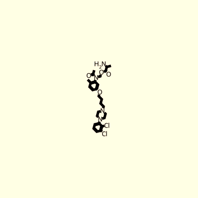 CC(=O)N(COC(=O)C(C)N)c1cc(OCCCCN2CCN(c3cccc(Cl)c3Cl)CC2)ccc1C